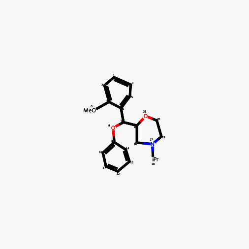 COc1ccccc1C(Oc1ccccc1)C1CN(C(C)C)CCO1